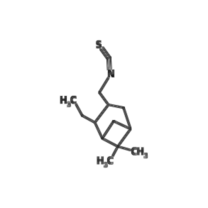 CCC1C(CN=C=S)CC2CC1C2(C)C